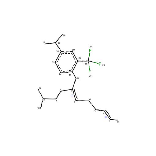 C/C=C/CC/C=C(/CCC(C)C)Cc1ccc(C(C)C)cc1C(F)(F)F